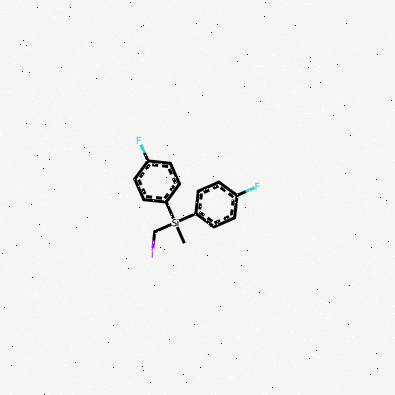 C[Si](CI)(c1ccc(F)cc1)c1ccc(F)cc1